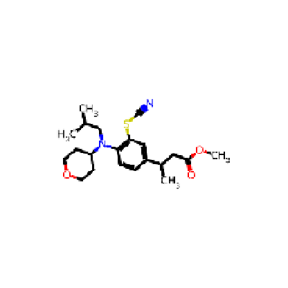 COC(=O)CC(C)c1ccc(N(CC(C)C)C2CCOCC2)c(SC#N)c1